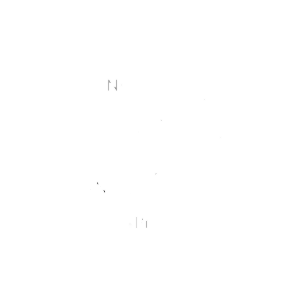 N#CC1(c2ccnc(Br)c2)CCCC1